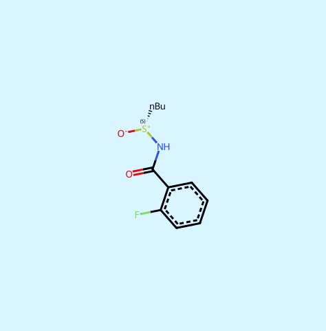 CCCC[S@@+]([O-])NC(=O)c1ccccc1F